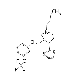 CCCCN1CCC(c2cccs2)C(COc2cccc(OC(F)(F)F)c2)C1